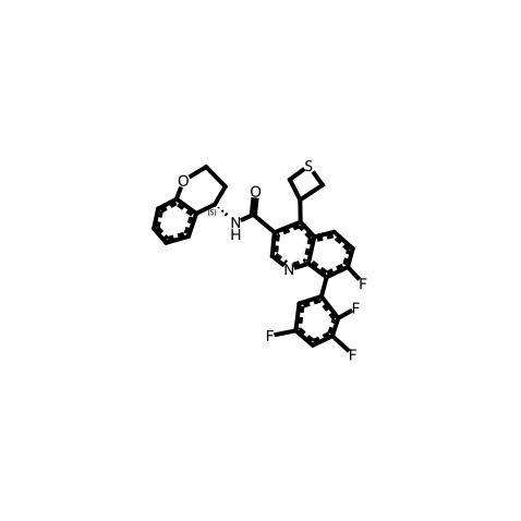 O=C(N[C@H]1CCOc2ccccc21)c1cnc2c(-c3cc(F)cc(F)c3F)c(F)ccc2c1C1CSC1